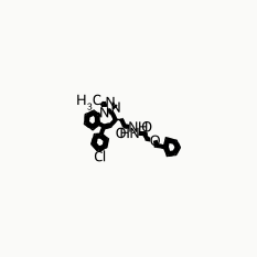 Cc1nnc2n1-c1ccccc1C(c1ccc(Cl)cc1)=C[C@@H]2CC(=O)NNC(=O)COCc1ccccc1